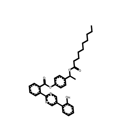 CCCCCCCCCC(=O)OC(C)c1ccc(OC(=O)c2ccccc2-c2ncc(-c3ccccc3O)cn2)cc1